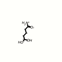 NC(=O)CCCC(O)O